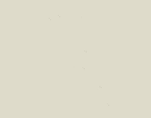 Cc1cc(-c2cc(=O)n3cc(N4CCNCC4)ccc3n2)cc2cn(C)nc12